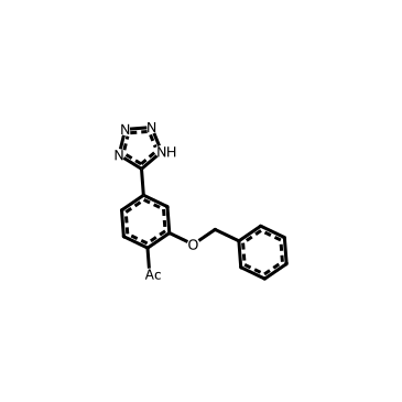 CC(=O)c1ccc(-c2nnn[nH]2)cc1OCc1ccccc1